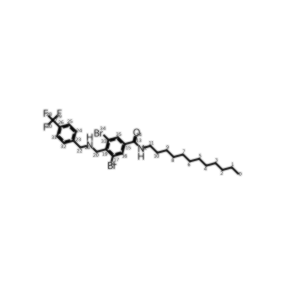 CCCCCCCCCCCCNC(=O)c1cc(Br)c(CNCc2ccc(C(F)(F)F)cc2)c(Br)c1